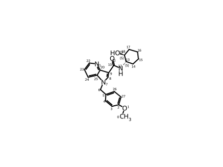 COc1ccc(Cn2cc(C(=O)N[C@H]3CCCC[C@@H]3O)c3ncccc32)cc1